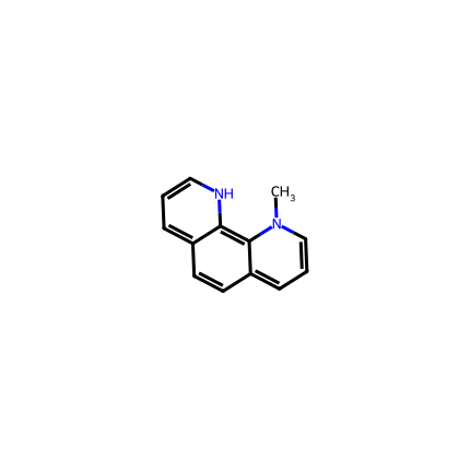 CN1C=CC=c2ccc3c(c21)NC=CC=3